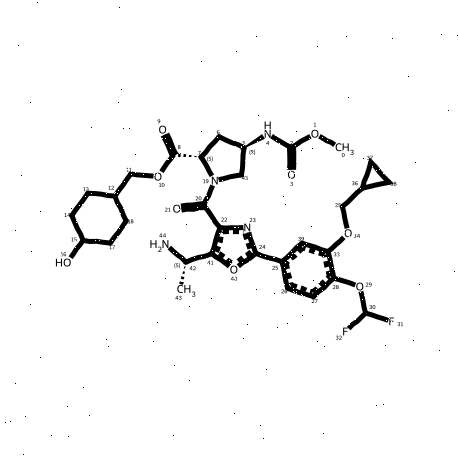 COC(=O)N[C@@H]1C[C@@H](C(=O)OCC2CCC(O)CC2)N(C(=O)c2nc(-c3ccc(OC(F)F)c(OCC4CC4)c3)oc2[C@H](C)N)C1